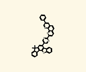 CC1(C)c2ccccc2-c2c1cc(-c1cnc(-c3ccc4ccc5cc(-c6ccccc6)cnc5c4n3)nc1)c1c2oc2ccccc21